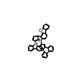 c1ccc2c(c1)oc1c2ccc2c1c1cccc(-n3c4ccccc4c4ccccc43)c1n2-c1ccc2c3ccccc3c3ccccc3c2c1